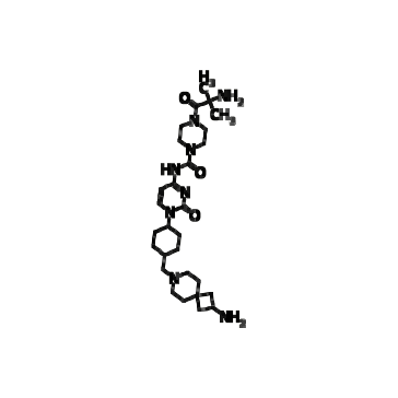 CC(C)(N)C(=O)N1CCN(C(=O)Nc2ccn(C3CCC(CN4CCC5(CC4)CC(N)C5)CC3)c(=O)n2)CC1